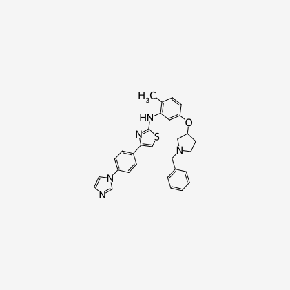 Cc1ccc(OC2CCN(Cc3ccccc3)C2)cc1Nc1nc(-c2ccc(-n3ccnc3)cc2)cs1